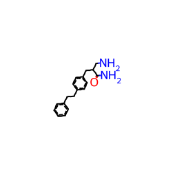 NCC(Cc1ccc(CCc2ccccc2)cc1)C(N)=O